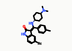 CC(=O)c1ccc2c(c1)/C(=C(/N[C@H]1CC[C@H](N(C)C)CC1)c1ccc(C)cc1)C(=O)N2